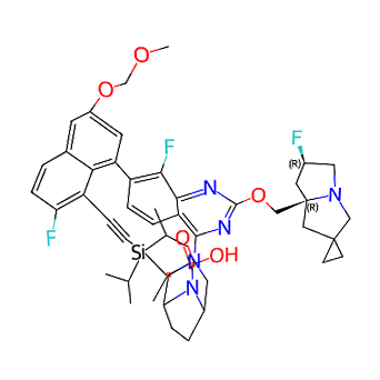 COCOc1cc(-c2ccc3c(N4CC5CCC(C4)N5C(=O)O)nc(OC[C@@]45C[C@@H](F)CN4CC4(CC4)C5)nc3c2F)c2c(C#C[Si](C(C)C)(C(C)C)C(C)C)c(F)ccc2c1